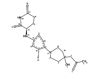 CC(=O)CC1(O)CCN(c2ccc(N[C@@H]3CCC(=O)NC3=O)cc2F)CC1